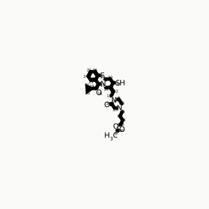 CC1OC(CCCN2CCN(C/C=C3\CN(C(C(=O)C4CC4)c4ccccc4F)CCC3S)C(=O)C2)O1